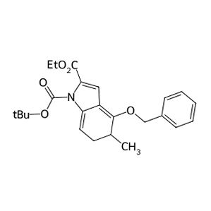 CCOC(=O)c1cc2c(n1C(=O)OC(C)(C)C)=CCC(C)C=2OCc1ccccc1